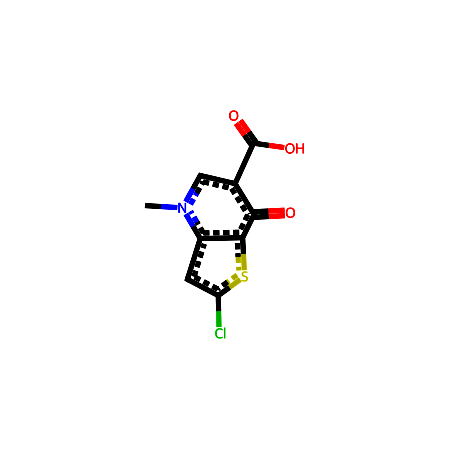 Cn1cc(C(=O)O)c(=O)c2sc(Cl)cc21